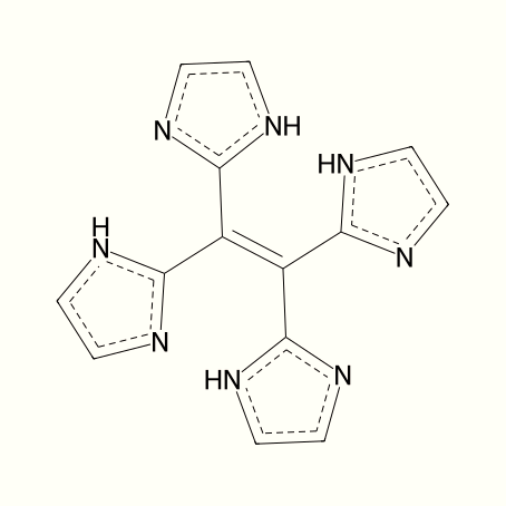 c1c[nH]c(C(=C(c2ncc[nH]2)c2ncc[nH]2)c2ncc[nH]2)n1